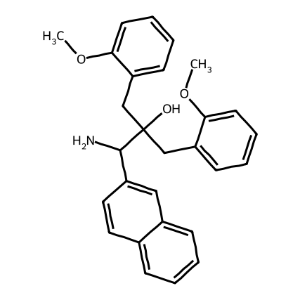 COc1ccccc1CC(O)(Cc1ccccc1OC)C(N)c1ccc2ccccc2c1